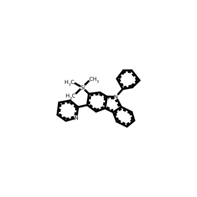 C[Si](C)(C)c1cc2c(cc1-c1ccccn1)c1ccccc1n2-c1ccccc1